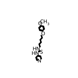 COc1ccc(OCCCCCCNC(=S)Nc2ccncc2)cc1